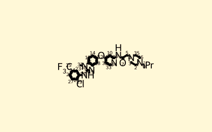 CC(C)N1CCN(CC(=O)Nc2cc(Oc3ccc4c(c3)nc(Nc3cc(C(F)(F)F)ccc3Cl)n4C)ccn2)CC1